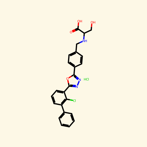 Cl.O=C(O)C(CO)NCc1ccc(-c2nnc(-c3cccc(-c4ccccc4)c3Cl)o2)cc1